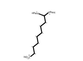 CCCCCC(CCCCC)CCCCCCCC(=O)O